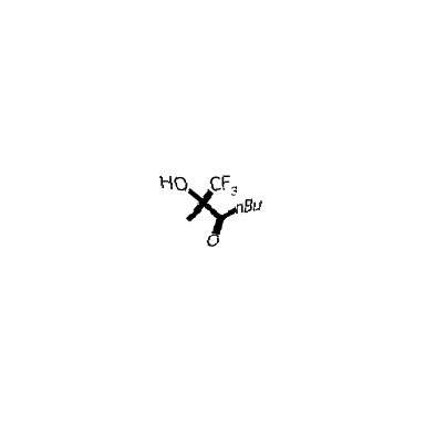 CCCCC(=O)C(C)(O)C(F)(F)F